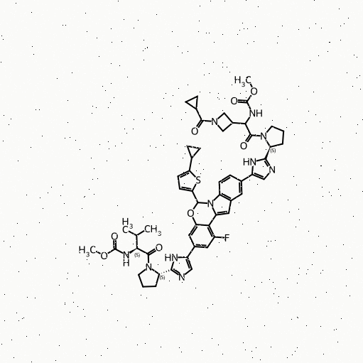 COC(=O)NC(C(=O)N1CCC[C@H]1c1ncc(-c2ccc3c(c2)cc2n3C(c3ccc(C4CC4)s3)Oc3cc(-c4cnc([C@@H]5CCCN5C(=O)[C@@H](NC(=O)OC)C(C)C)[nH]4)cc(F)c3-2)[nH]1)C1CN(C(=O)C2CC2)C1